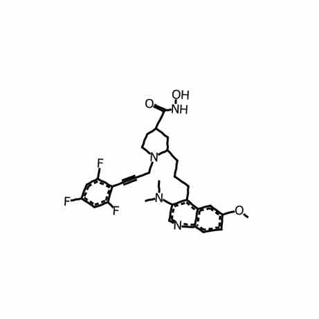 COc1ccc2ncc(N(C)C)c(CCCC3CC(C(=O)NO)CCN3CC#Cc3c(F)cc(F)cc3F)c2c1